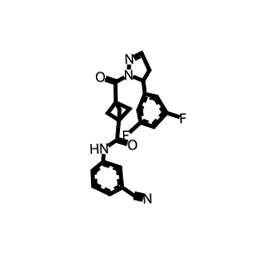 N#Cc1cccc(NC(=O)C23CC(C(=O)N4N=CCC4c4cc(F)cc(F)c4)(C2)C3)c1